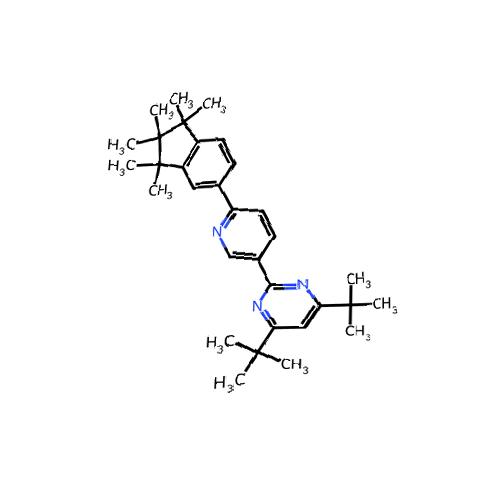 CC(C)(C)c1cc(C(C)(C)C)nc(-c2ccc(-c3ccc4c(c3)C(C)(C)C(C)(C)C4(C)C)nc2)n1